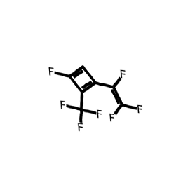 FC1=CC(C(F)=C(F)F)=C1C(F)(F)F